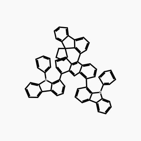 c1ccc(-n2c3ccccc3c3cccc(-c4cccc5c(-c6cccc7c6C6(CCCC6)c6ccccc6-7)c6cccc(-c7cccc8c9ccccc9n(-c9ccccc9)c78)c6cc45)c32)cc1